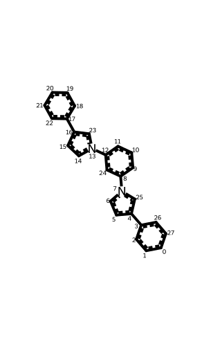 c1ccc(-c2ccn(-c3cccc(-n4ccc(-c5ccccc5)c4)c3)c2)cc1